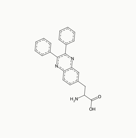 NC(Cc1ccc2nc(-c3ccccc3)c(-c3ccccc3)nc2c1)C(=O)O